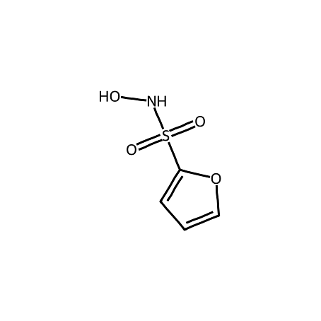 O=S(=O)(NO)c1ccco1